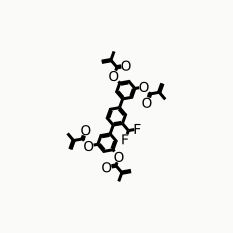 C=C(C)C(=O)Oc1cc(OC(=O)C(=C)C)cc(-c2ccc(-c3cc(OC(=O)C(=C)C)cc(OC(=O)C(=C)C)c3)c(C(F)F)c2)c1